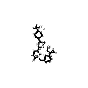 CC(C)(c1ccc(-c2noc(-c3ccc(=O)n(Cc4cccc(C5(CO)CC5)c4)n3)n2)cc1)C(F)(F)F